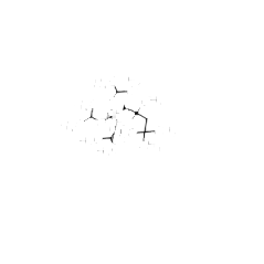 CC(C)[O][Nb](=[N]C(C)(C)CC(C)(C)C)([O]C(C)C)[O]C(C)C